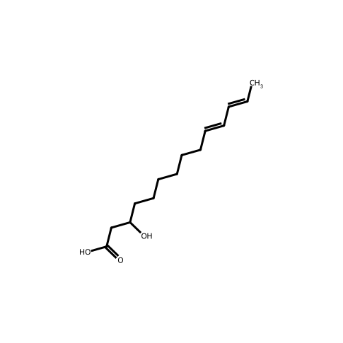 CC=CC=CCCCCCCC(O)CC(=O)O